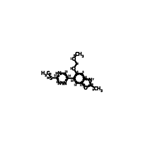 COCOc1cc2nc(C)oc2cc1-c1cnc(SC)nn1